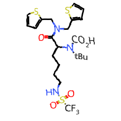 CC(C)(C)N(C(=O)O)C(CCCCNS(=O)(=O)C(F)(F)F)C(=O)N(Cc1cccs1)Cc1cccs1